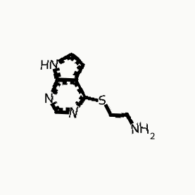 NCCSc1ncnc2[nH]ccc12